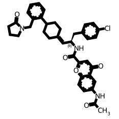 CC(=O)Nc1ccc2oc(C(=O)N[C@@H](C=C3CCC(c4ccccc4CN4CCCC4=O)CC3)Cc3ccc(Cl)cc3)cc(=O)c2c1